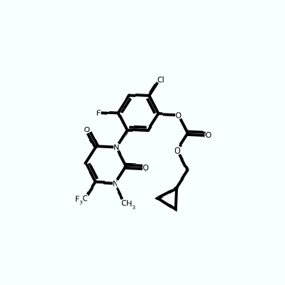 Cn1c(C(F)(F)F)cc(=O)n(-c2cc(OC(=O)OCC3CC3)c(Cl)cc2F)c1=O